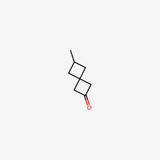 CC1CC2(CC(=O)C2)C1